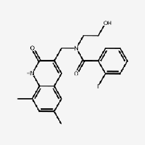 Cc1cc(C)c2[nH]c(=O)c(CN(CCO)C(=O)c3ccccc3I)cc2c1